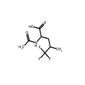 CC(=O)NC(CC(C)C(F)(F)F)C(=O)O